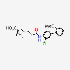 C=C(CCCCC(=O)Nc1ccc(-c2ccccc2OC)cc1Cl)C(=O)O